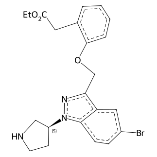 CCOC(=O)Cc1ccccc1OCc1nn([C@H]2CCNC2)c2ccc(Br)cc12